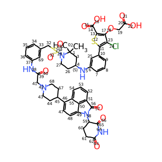 CC1(C)C[C@@H](Nc2cccc(-c3sc(C(=O)O)c(OCC(=O)O)c3Cl)c2)CCN1S(=O)(=O)Cc1cccc(NC(=O)CN2CCC(c3ccc4c5c(cccc35)C(=O)N4C3CCC(=O)NC3=O)CC2)c1